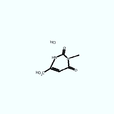 Cl.Cn1c(=O)cc(C(=O)O)[nH]c1=O